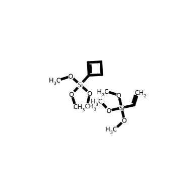 C=C[Si](OC)(OC)OC.CO[Si](OC)(OC)C1=CCC1